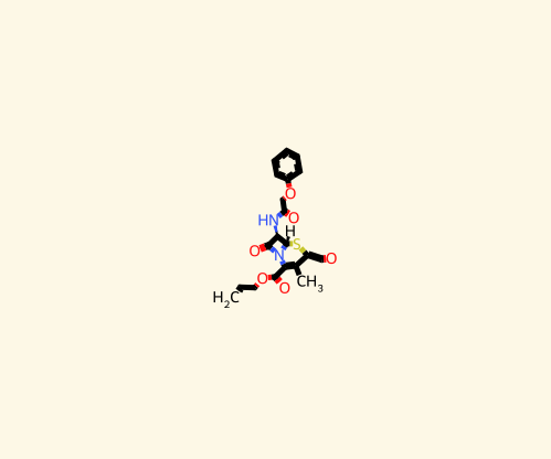 C=CCOC(=O)C1=C(C)C(=C=O)S[C@H]2[C@H](NC(=O)COc3ccccc3)C(=O)N12